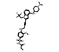 CCC(=O)NS(=O)(=O)c1ccc(NCC#Cc2cc3c(NC4CCN(N(C)C)CC4)cccc3n2CC(F)(F)F)c(OC)c1